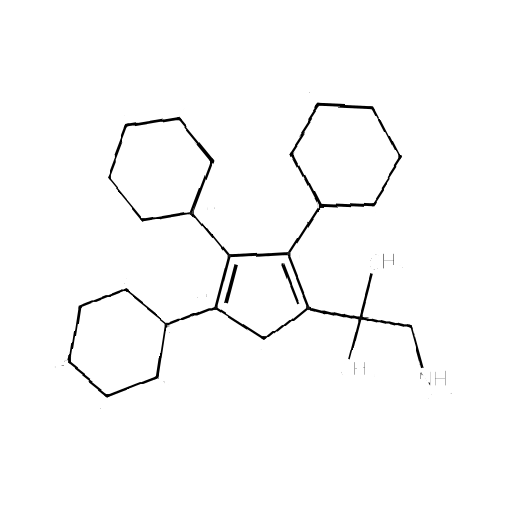 CC(C)(CN)C1=C(C2CCCCC2)C(C2CCCCC2)=C(C2CCCCC2)C1